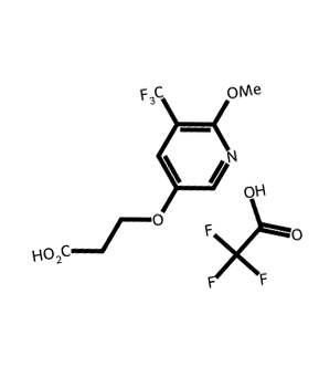 COc1ncc(OCCC(=O)O)cc1C(F)(F)F.O=C(O)C(F)(F)F